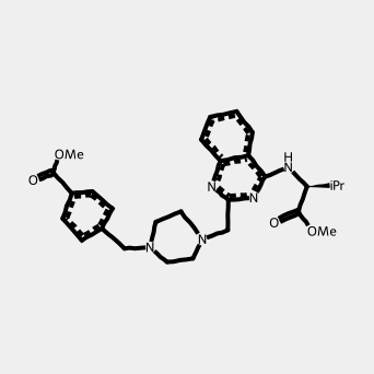 COC(=O)c1ccc(CN2CCN(Cc3nc(N[C@H](C(=O)OC)C(C)C)c4ccccc4n3)CC2)cc1